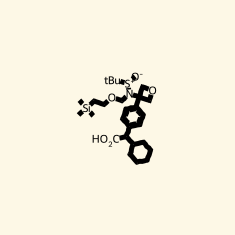 CC(C)(C)[S+]([O-])N(COCC[Si](C)(C)C)C1(c2ccc(C(C(=O)O)C3CCCCC3)cc2)COC1